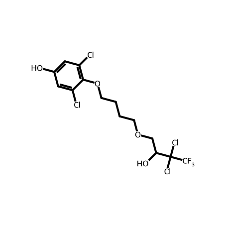 Oc1cc(Cl)c(OCCCCOCC(O)C(Cl)(Cl)C(F)(F)F)c(Cl)c1